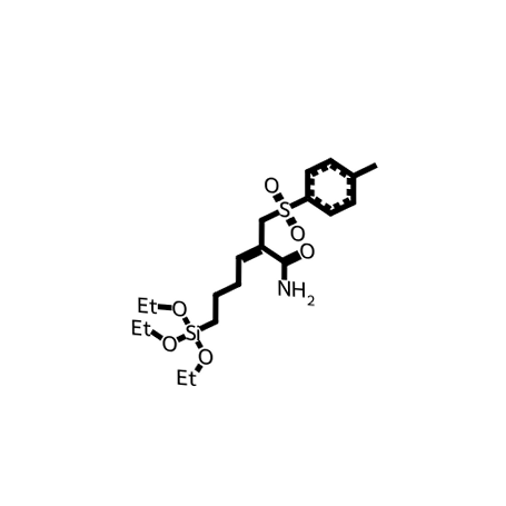 CCO[Si](CCCC=C(CS(=O)(=O)c1ccc(C)cc1)C(N)=O)(OCC)OCC